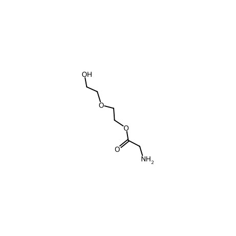 NCC(=O)OCCOCCO